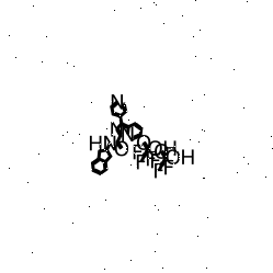 O=C(NC1Cc2ccccc2C1)c1nc(-c2ccncc2)c2ccccn12.O=C(O)C(F)(F)F.O=C(O)C(F)(F)F